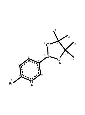 CC1(C)OB(c2ccc(Br)nc2)OC1(C)C